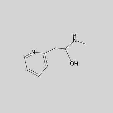 CNC(O)Cc1ccccn1